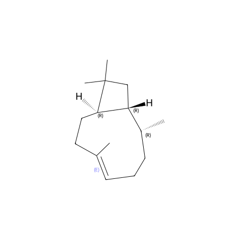 C/C1=C\CC[C@@H](C)[C@H]2CC(C)(C)[C@@H]2CC1